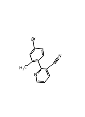 Cc1cc(Br)ccc1-c1ncccc1C#N